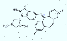 CN1C[C@H](O)[C@@H](n2c(=N)[nH]c3cc(/C=C4\c5ccc(F)cc5COC5C=C(F)C=CC45)ccc32)C1